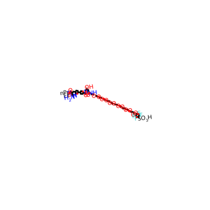 CCCN(OCC)C(=O)C1=Cc2ccc(-c3ccc(C(=O)N4C[C@@H](O)C[C@H]4C(=O)NCCOCCOCCOCCOCCOCCOCCOCCOCCOCCOCCC(=O)Oc4c(F)c(F)c(S(=O)(=O)O)c(F)c4F)cc3)cc2N=C(N)C1